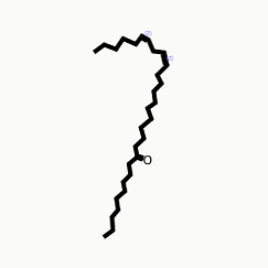 CCCCC/C=C\C/C=C\CCCCCCCCCC(=O)CCCCCCCCC